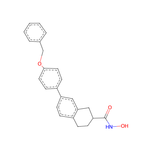 O=C(NO)C1CCc2ccc(-c3ccc(OCc4ccccc4)cc3)cc2C1